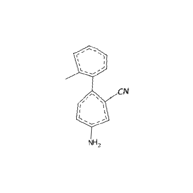 Cc1ccccc1-c1ccc(N)cc1C#N